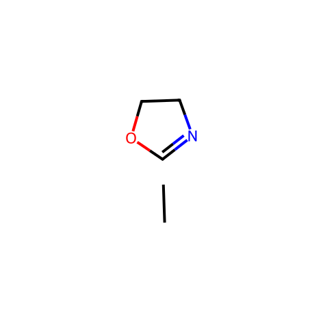 C1=NCCO1.CC